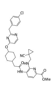 COC(=O)c1ccc(NC(=O)CC2CCC(Oc3ccnc(Cc4ccc(Cl)cc4)n3)CC2)c(NCC2(C#N)CC2)n1